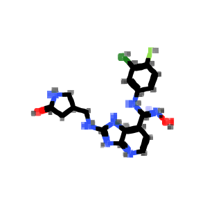 O=C1CC(CNc2nc3nccc(/C(=N\O)Nc4ccc(F)c(Cl)c4)c3[nH]2)CN1